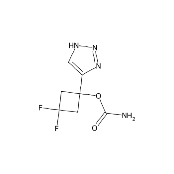 NC(=O)OC1(c2c[nH]nn2)CC(F)(F)C1